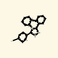 Ic1ccc(-c2nnc3c4ccccc4c4ccccc4n23)cc1